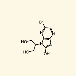 OCC(CO)n1c(O)nc2ncc(Br)nc21